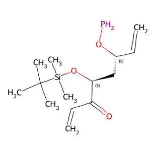 C=CC(=O)[C@H](C[C@@H](C=C)OP)O[Si](C)(C)C(C)(C)C